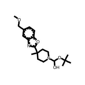 COCc1ccc2oc(C3(C)CCN(C(O)OC(C)(C)C)CC3)nc2c1